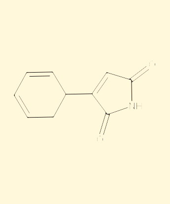 O=C1C=C(C2C=CC=CC2)C(=O)N1